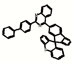 c1ccc(-c2ccc(-c3nc(-c4ccc5c(c4)C4(c6ccccc6Sc6ccccc64)c4ccccc4-5)c4ccccc4n3)cc2)cc1